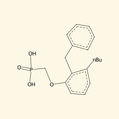 CCCCc1cccc(OCP(=O)(O)O)c1Cc1ccccc1